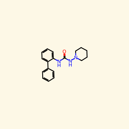 O=C(Nc1ccccc1-c1ccccc1)NN1CCCCC1